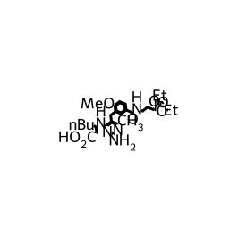 CCCCC(CC(=O)O)Nc1nc(N)nc(C)c1Cc1cc(C(=O)NCCCP(=O)(OCC)OCC)ccc1OC